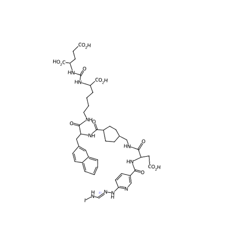 O=C(O)CCC(NC(=O)NC(CCCCNC(=O)C(Cc1ccc2ccccc2c1)NC(=O)C1CCC(CNC(=O)C(CC(=O)O)NC(=O)c2ccc(N/N=C/NI)nc2)CC1)C(=O)O)C(=O)O